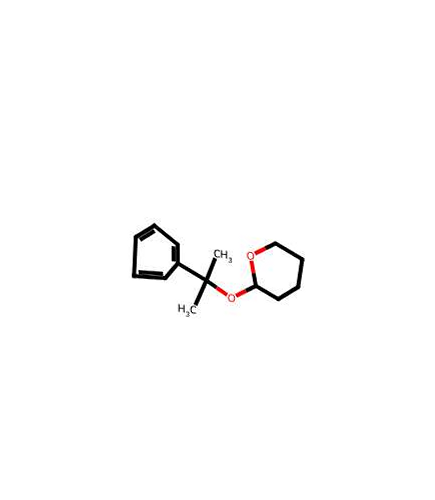 CC(C)(OC1CCCCO1)c1c[c]ccc1